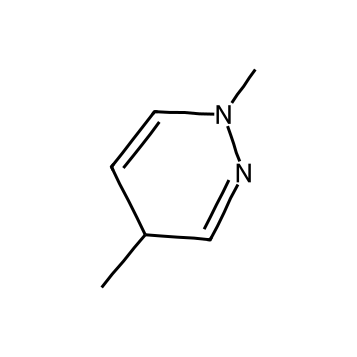 CC1C=CN(C)N=C1